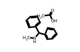 CC(=O)O.CNC(c1ccccc1)c1ccccc1